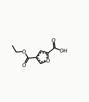 CCOC(=O)c1coc(C(=O)O)c1